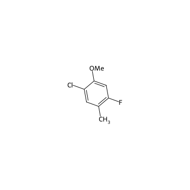 COc1cc(F)c(C)cc1Cl